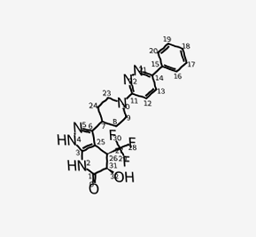 O=C1Nc2[nH]nc(C3CCN(c4ccc(-c5ccccc5)nn4)CC3)c2[C@@H](C(F)(F)F)[C@H]1O